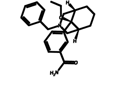 CCO[C@]1(c2cccc(C(N)=O)c2)[C@@H]2CCC[C@H]1CN(Cc1ccccc1)C2